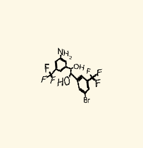 Nc1cc(C(O)C(O)c2cc(Br)cc(C(F)(F)F)c2)cc(C(F)(F)F)c1